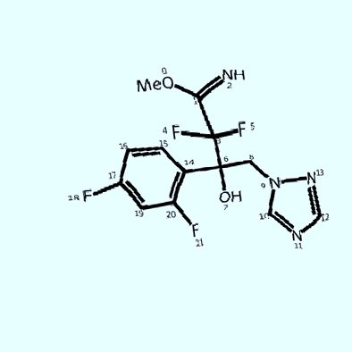 COC(=N)C(F)(F)C(O)(Cn1cncn1)c1ccc(F)cc1F